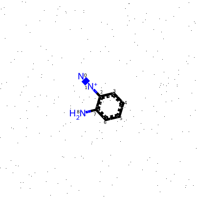 N#[N+]c1ccccc1N